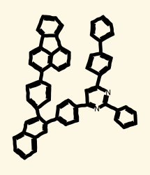 c1ccc(-c2ccc(-c3cc(-c4ccc(-c5cc6ccccc6cc5-c5ccc(-c6ccc7c8c(cccc68)-c6ccccc6-7)cc5)cc4)nc(-c4ccccc4)n3)cc2)cc1